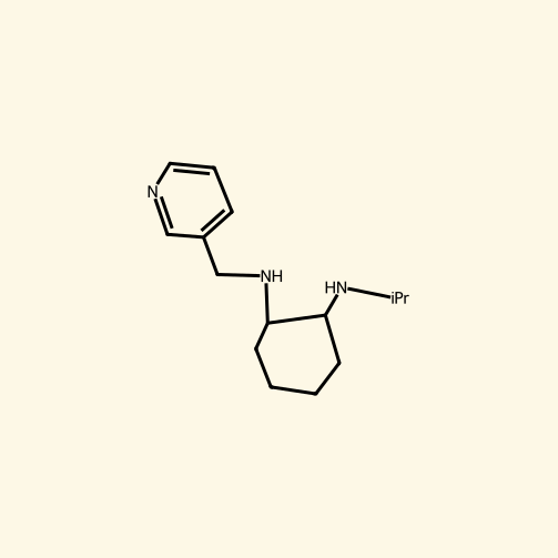 CC(C)NC1CCCCC1NCc1cccnc1